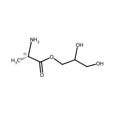 C[C@H](N)C(=O)OCC(O)CO